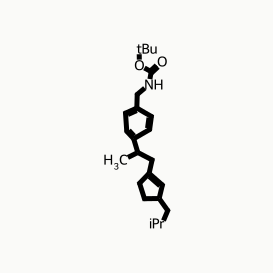 CC(C)CC1C=C(CC(C)c2ccc(CNC(=O)OC(C)(C)C)cc2)CC1